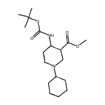 COC(=O)C1CN(C2CCCCC2)CCC1NC(=O)OC(C)(C)C